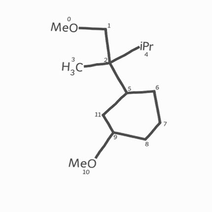 COCC(C)(C(C)C)C1CCCC(OC)C1